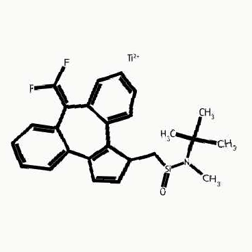 CN([Si](=O)CC1C=CC2=C1c1ccccc1C(=C(F)F)c1ccccc12)C(C)(C)C.[Ti+2]